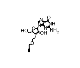 C#CCOCC[C@H]1[C@@H](O)[C@H](n2cnc3c(=O)[nH]c(N)nc32)O[C@@H]1CO